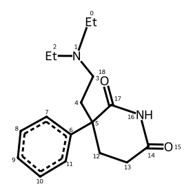 CCN(CC)CCC1(c2ccccc2)CCC(=O)NC1=O